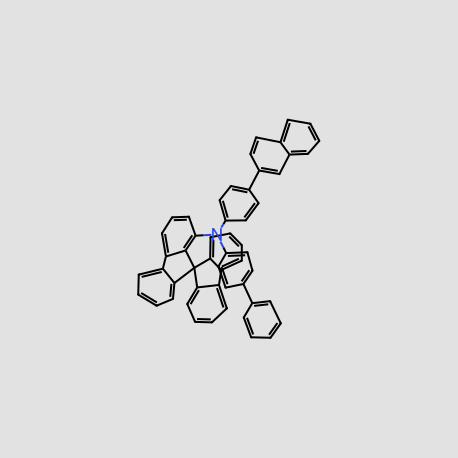 c1ccc(-c2ccc(N(c3ccc(-c4ccc5ccccc5c4)cc3)c3cccc4c3C3(c5ccccc5-c5ccccc53)c3ccccc3-4)cc2)cc1